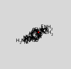 C=Nc1c(C(N)=O)c(F)cn1[C@@H]1O[C@@H]2COP(=O)(S)O[C@H]3[C@@H](F)[C@H](n4cnc5c(N)ncnc54)O[C@@H]3COP(=O)(S)O[C@@H]1[C@@H]2O